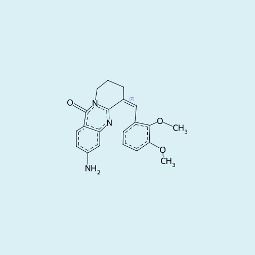 COc1cccc(/C=C2/CCCn3c2nc2cc(N)ccc2c3=O)c1OC